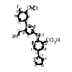 CCOc1cc(-n2nc(Nc3ncc(-c4cccs4)cc3C(=O)O)cc2CC(C)C)ccc1F